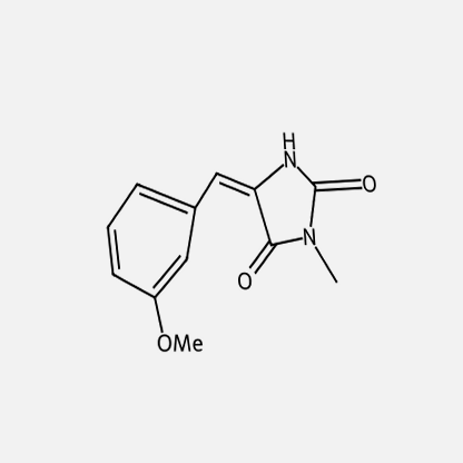 COc1cccc(C=C2NC(=O)N(C)C2=O)c1